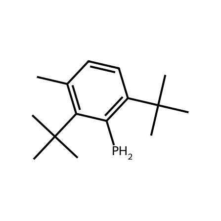 Cc1ccc(C(C)(C)C)c(P)c1C(C)(C)C